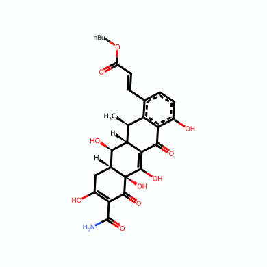 CCCCOC(=O)/C=C/c1ccc(O)c2c1[C@H](C)[C@@H]1C(=C(O)[C@]3(O)C(=O)C(C(N)=O)=C(O)C[C@@H]3[C@H]1O)C2=O